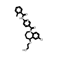 Cc1ccccc1C(=O)Nc1ccc(C(=O)N2CCCC(OCCO)c3cc(Cl)ccc32)cn1